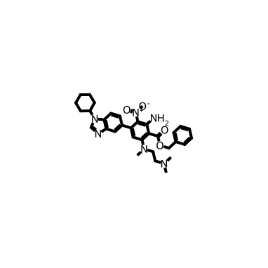 CN(C)CCN(C)c1cc(-c2ccc3c(c2)ncn3C2CCCCC2)c([N+](=O)[O-])c(N)c1C(=O)OCc1ccccc1